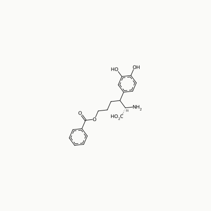 N[C@H](C(=O)O)C(CCCOC(=O)c1ccccc1)c1ccc(O)c(O)c1